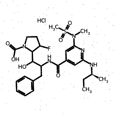 CC[C@H](C)Nc1cc(C(=O)NC(Cc2ccccc2)C(O)C2C(F)CCN2C(=O)O)cc(N(C)S(C)(=O)=O)n1.Cl